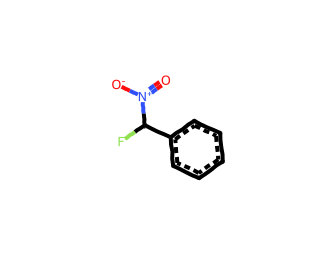 O=[N+]([O-])[C](F)c1ccccc1